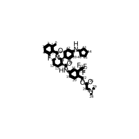 Cc1cccc(F)c1C(=O)N1CCC[C@H](C(=O)Nc2ccc(COC(=O)CN(C)C)c(C(F)(F)F)c2)[C@@H]1c1ccc(NC2CCCC2)cc1